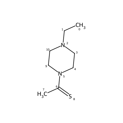 CCN1CCN(C(C)=S)CC1